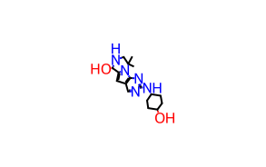 CC1(C)CNC(O)c2cc3cnc(N[C@H]4CC[C@H](O)CC4)nc3n21